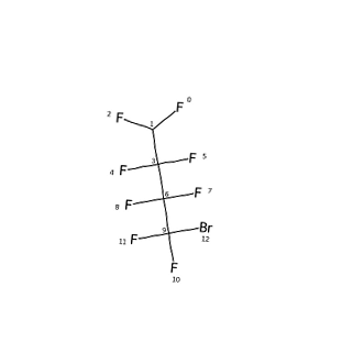 FC(F)C(F)(F)C(F)(F)C(F)(F)Br